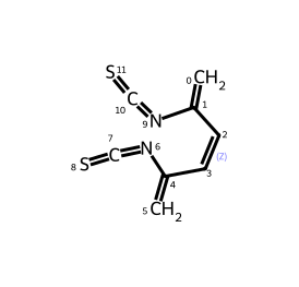 C=C(/C=C\C(=C)N=C=S)N=C=S